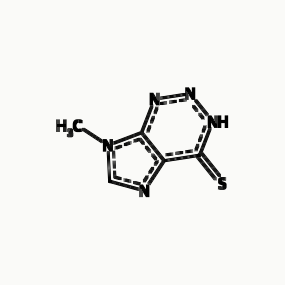 Cn1cnc2c(=S)[nH]nnc21